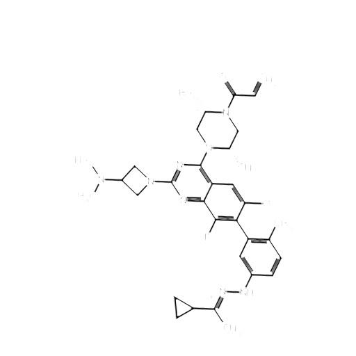 C=CC(=O)N1C[C@H](C)N(c2nc(N3CC(N(C)C)C3)nc3c(F)c(-c4cc(N/N=C(\C)C5CC5)ccc4C)c(Cl)cc23)C[C@@H]1C